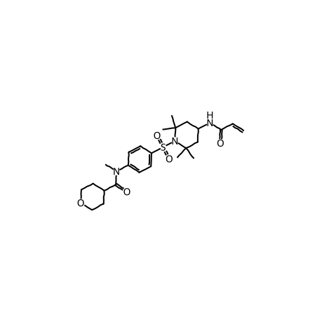 C=CC(=O)NC1CC(C)(C)N(S(=O)(=O)c2ccc(N(C)C(=O)C3CCOCC3)cc2)C(C)(C)C1